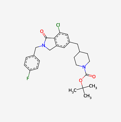 CC(C)(C)OC(=O)N1CCC(Cc2cc(Cl)c3c(c2)CN(Cc2ccc(F)cc2)C3=O)CC1